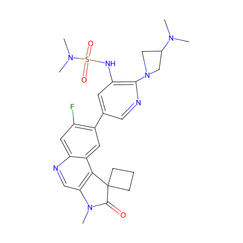 CN1C(=O)C2(CCC2)c2c1cnc1cc(F)c(-c3cnc(N4CC(N(C)C)C4)c(NS(=O)(=O)N(C)C)c3)cc21